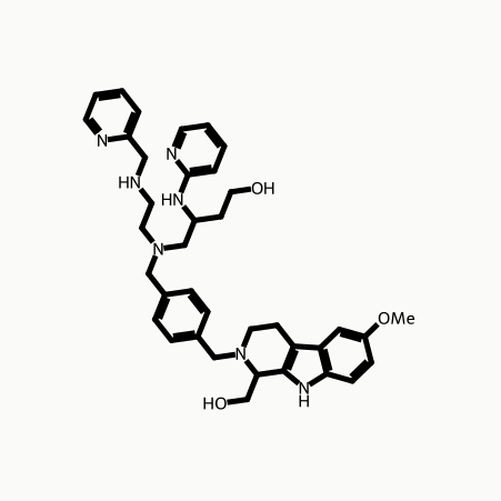 COc1ccc2[nH]c3c(c2c1)CCN(Cc1ccc(CN(CCNCc2ccccn2)CC(CCO)Nc2ccccn2)cc1)C3CO